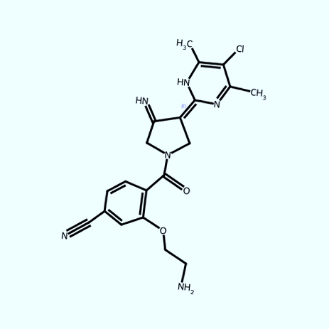 CC1=N/C(=C2\CN(C(=O)c3ccc(C#N)cc3OCCN)CC2=N)NC(C)=C1Cl